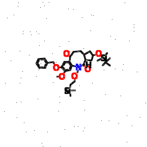 COc1cc2c(cc1OCc1ccccc1)C(=O)CCC1CC(O[Si](C)(C)C(C)(C)C)C[C@H]1C(=O)N2COCC[Si](C)(C)C